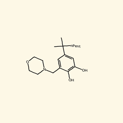 CCCCCC(C)(C)c1cc(O)c(O)c(CN2CCOCC2)c1